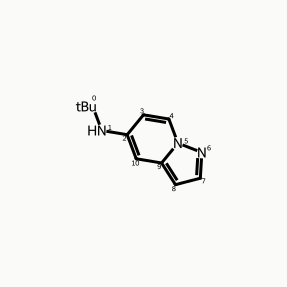 CC(C)(C)Nc1ccn2nccc2c1